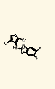 Fc1cc2nc(Nc3c(Cl)csc3Br)[nH]c2cc1F